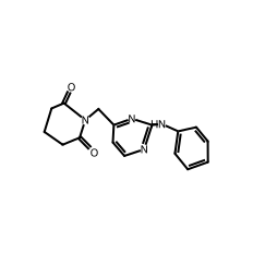 O=C1CCCC(=O)N1Cc1ccnc(Nc2ccccc2)n1